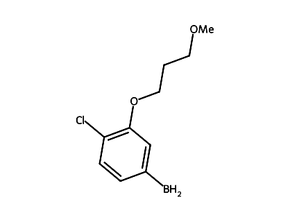 Bc1ccc(Cl)c(OCCCOC)c1